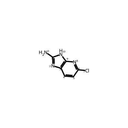 Nc1nc2ccc(Cl)nc2[nH]1